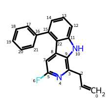 C=CCc1nc(F)cc2c1[nH]c1cccc(-c3ccccc3)c12